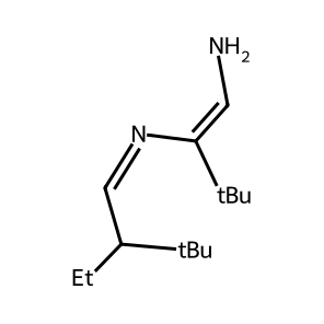 CCC(/C=N\C(=C/N)C(C)(C)C)C(C)(C)C